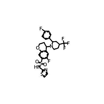 O=S(=O)(Nc1nccs1)c1cc2c(cc1F)C(N1CCC(C(F)(F)F)CC1c1ccc(F)cc1)CCO2